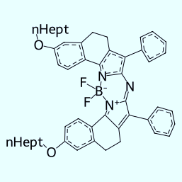 CCCCCCCOc1ccc2c(c1)CCC1=C(c3ccccc3)C3=Nc4c(-c5ccccc5)c5c(n4[B-](F)(F)[N+]3=C12)-c1ccc(OCCCCCCC)cc1CC5